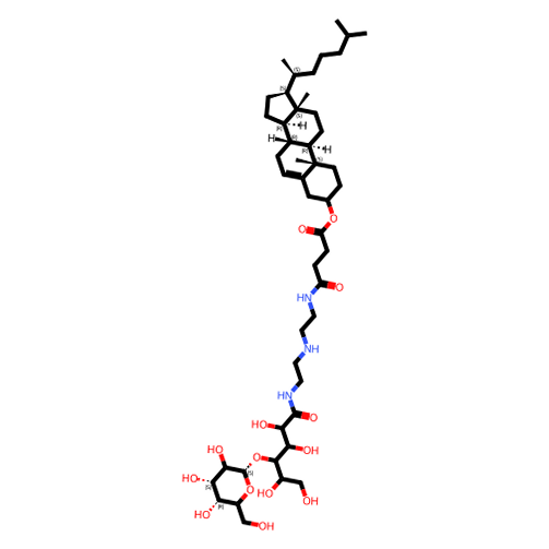 CC(C)CCC[C@H](C)[C@@H]1CC[C@@H]2[C@H]3CC=C4CC(OC(=O)CCC(=O)NCCNCCNC(=O)C(O)C(O)C(O[C@@H]5OC(CO)[C@H](O)[C@H](O)C5O)C(O)CO)CC[C@@]4(C)[C@@H]3CC[C@]21C